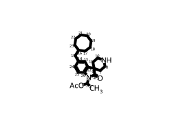 CC(=O)OC(C)N1C(=O)C2(CCNCC2)c2cc(CC3CCCCCCC3)ccc21